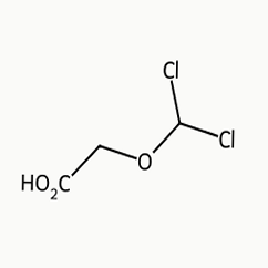 O=C(O)COC(Cl)Cl